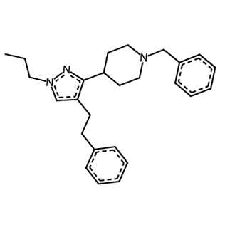 CCCn1cc(CCc2ccccc2)c(C2CCN(Cc3ccccc3)CC2)n1